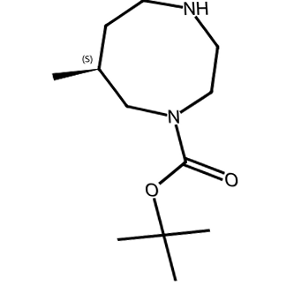 C[C@H]1CCNCCN(C(=O)OC(C)(C)C)C1